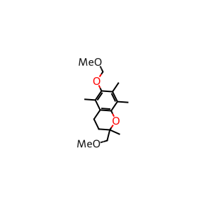 COCOc1c(C)c(C)c2c(c1C)CCC(C)(COC)O2